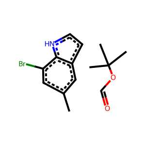 CC(C)(C)OC=O.Cc1cc(Br)c2[nH]ccc2c1